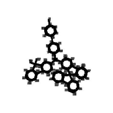 Cc1ccc(-c2ccc(N(c3ccc4c(c3)C(C)(C)c3ccccc3-4)c3ccc4c(c3)C3(c5ccc#cc5-c5ccccc53)c3ccccc3-4)cc2)cc1